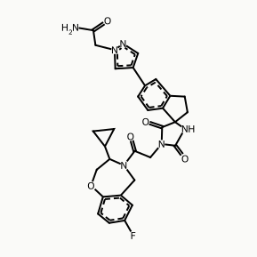 NC(=O)Cn1cc(-c2ccc3c(c2)CCC32NC(=O)N(CC(=O)N3Cc4cc(F)ccc4OCC3C3CC3)C2=O)cn1